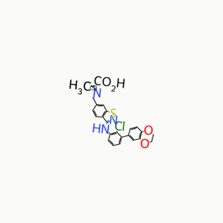 C[C@H](N=Cc1ccc2c(Nc3cccc(-c4ccc5c(c4)OCCO5)c3Cl)nsc2c1)C(=O)O